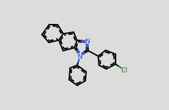 Clc1ccc(-c2nc3cc4ccccc4cc3n2-c2ccccc2)cc1